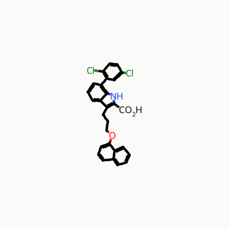 O=C(O)c1[nH]c2c(-c3cc(Cl)ccc3Cl)cccc2c1CCCOc1cccc2ccccc12